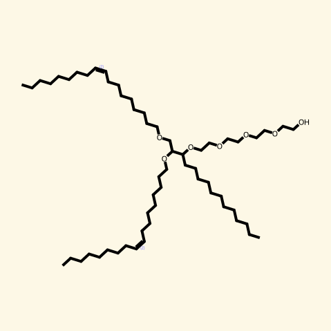 CCCCCCCC/C=C\CCCCCCCCOCC(OCCCCCCCC/C=C\CCCCCCCC)C(CCCCCCCCCCCC)OCCOCCOCCOCCO